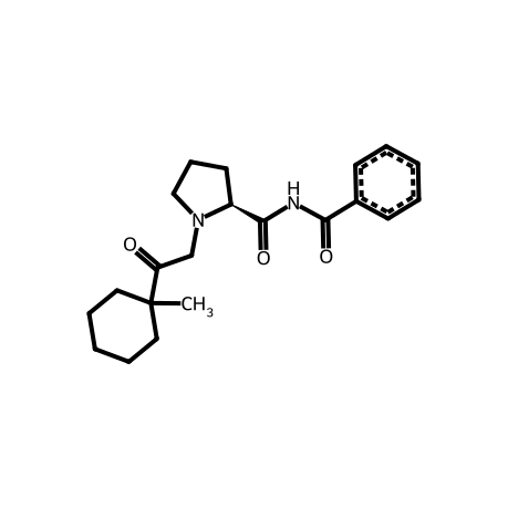 CC1(C(=O)CN2CCC[C@H]2C(=O)NC(=O)c2ccccc2)CCCCC1